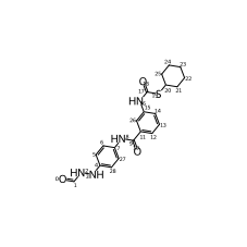 O=CNNc1ccc(NC(=O)c2cccc(NC(=O)SC3CCCCC3)c2)cc1